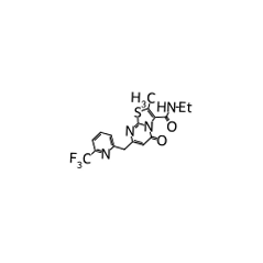 CCNC(=O)c1c(C)sc2nc(Cc3cccc(C(F)(F)F)n3)cc(=O)n12